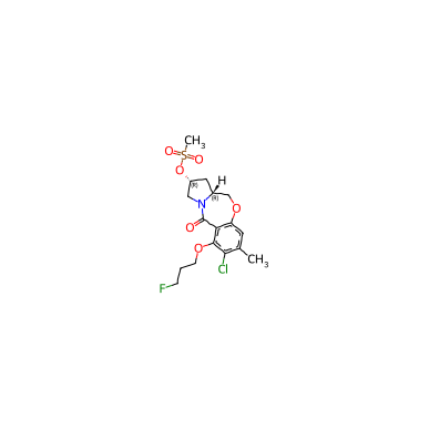 Cc1cc2c(c(OCCCF)c1Cl)C(=O)N1C[C@H](OS(C)(=O)=O)C[C@@H]1CO2